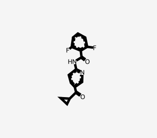 O=C(Nc1ccc(C(=O)C2CC2)cn1)c1c(F)cccc1F